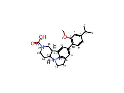 COc1cc(C(C)C)ccc1-c1cc2c3c(c1)[C@@H]1CN(C(=O)O)CC[C@@H]1N3CC2